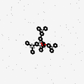 c1ccc(-c2nc(-c3ccccc3)nc(-c3ccc(-n4c5ccc(-c6ccc7c(c6)c6ccccc6n7-c6ccccc6)cc5c5cc(-c6ccc7c(c6)c6ccccc6n7-c6ccccc6)ccc54)c(-n4c5ccccc5c5ccccc54)c3)n2)cc1